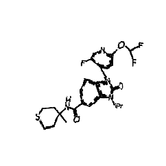 CC(C)n1c(=O)n(-c2cc(OC(F)F)ncc2F)c2ccc(C(=O)NC3(C)CCSCC3)cc21